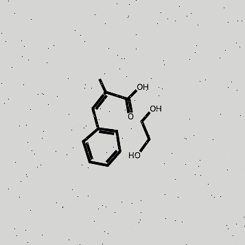 CC(=Cc1ccccc1)C(=O)O.OCCO